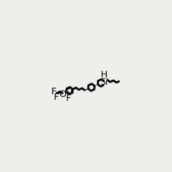 CCCCC[SiH]1CCC([C@H]2CC[C@H](CCCCc3ccc(OC=C(F)F)c(F)c3)CC2)CC1